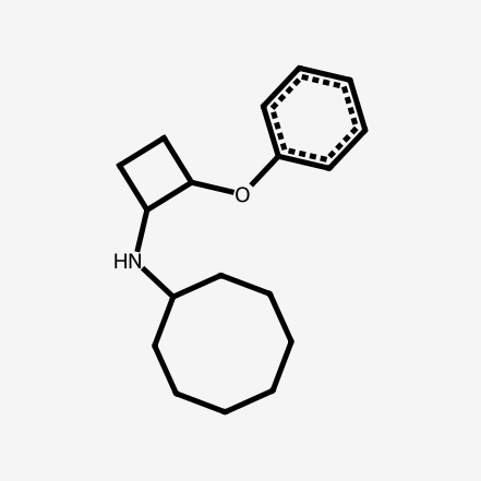 c1ccc(OC2CCC2NC2CCCCCCC2)cc1